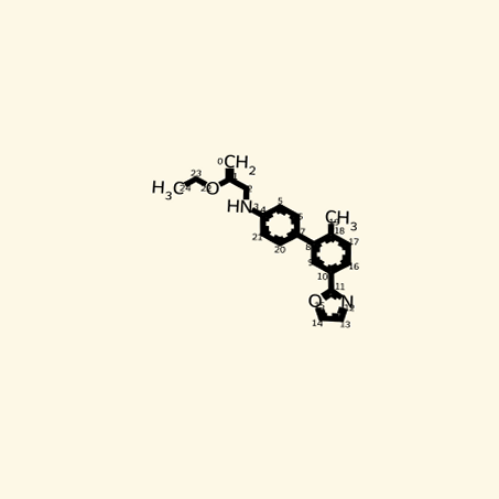 C=C(CNc1ccc(-c2cc(-c3ncco3)ccc2C)cc1)OCC